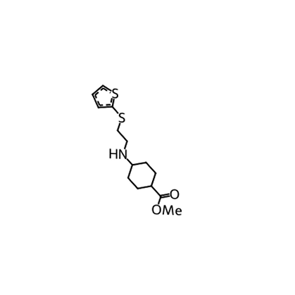 COC(=O)C1CCC(NCCSc2cccs2)CC1